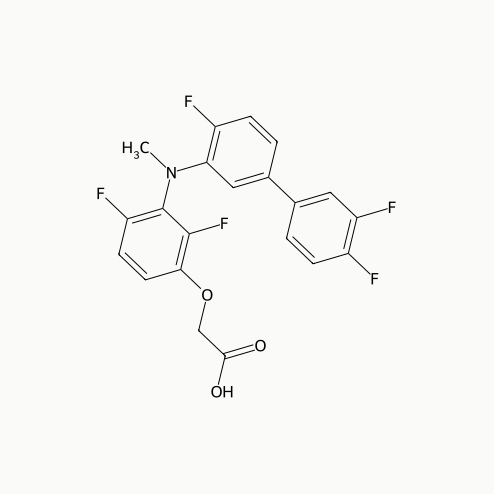 CN(c1cc(-c2ccc(F)c(F)c2)ccc1F)c1c(F)ccc(OCC(=O)O)c1F